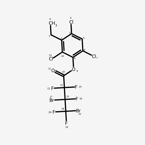 CCc1c(Cl)cc(Cl)c(OC(=O)C(F)(F)C(F)(Br)C(F)(F)Br)c1Cl